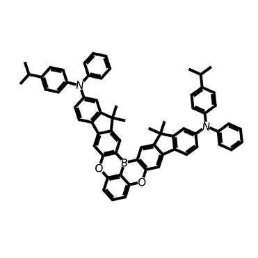 CC(C)c1ccc(N(c2ccccc2)c2ccc3c(c2)C(C)(C)c2cc4c(cc2-3)Oc2cccc3c2B4c2cc4c(cc2O3)-c2ccc(N(c3ccccc3)c3ccc(C(C)C)cc3)cc2C4(C)C)cc1